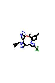 Cc1ccc2c(c1)C(C)Oc1cc(cnc1N)-c1c(cnn1CC1CC1)Cc1cc(C(F)(F)F)nn1-2